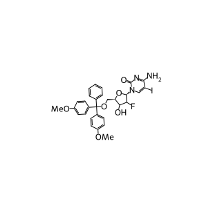 COc1ccc(C(OC[C@H]2O[C@@H](n3cc(I)c(N)nc3=O)C(F)C2O)(c2ccccc2)c2ccc(OC)cc2)cc1